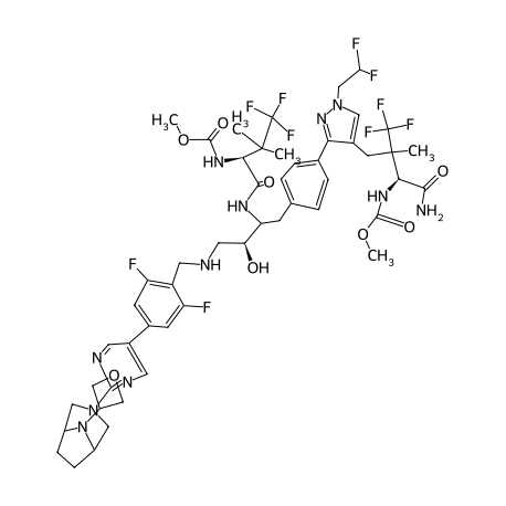 COC(=O)N[C@H](C(=O)NC(Cc1ccc(-c2nn(CC(F)F)cc2CC(C)([C@H](NC(=O)OC)C(N)=O)C(F)(F)F)cc1)[C@@H](O)CNCc1c(F)cc(-c2cnc(N3CC4CCC(C3)N4C3COC3)nc2)cc1F)C(C)(C)C(F)(F)F